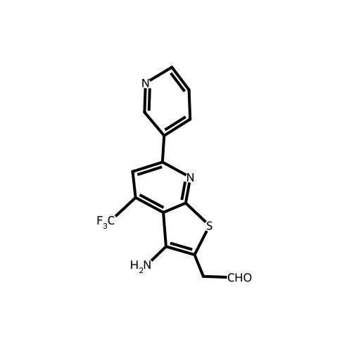 Nc1c(CC=O)sc2nc(-c3cccnc3)cc(C(F)(F)F)c12